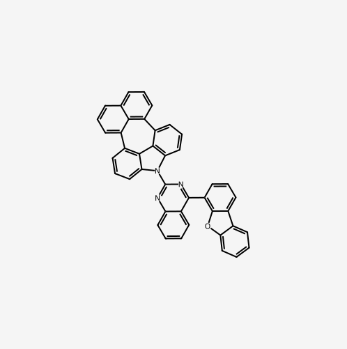 c1cc2c3c(cccc3c1)-c1cccc3c1c1c-2cccc1n3-c1nc(-c2cccc3c2oc2ccccc23)c2ccccc2n1